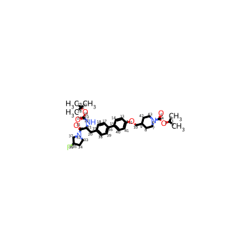 CC(C)OC(=O)N1CCC(COc2ccc(-c3ccc(CC(NC(=O)OC(C)(C)C)C(=O)N4CCC(F)C4)cc3)cc2)CC1